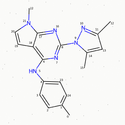 Cc1ccc(Nc2nc(-n3nc(C)cc3C)nc3c2ccn3C)cc1